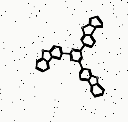 c1ccc2c(c1)oc1cc(-c3cc(-c4ccc5c(c4)oc4ccccc45)nc(-c4ccc5oc6ccccc6c5c4)n3)ccc12